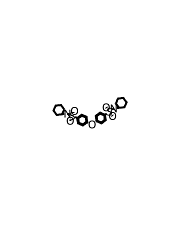 O=S(=O)(c1ccc(Oc2ccc(S(=O)(=O)N3C4CCCCC43)cc2)cc1)N1C2CCCCC21